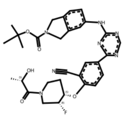 C[C@H](O)C(=O)N1CC[C@H](Oc2ccc(-c3ncnc(Nc4ccc5c(c4)CN(C(=O)OC(C)(C)C)C5)n3)cc2C#N)[C@H](F)C1